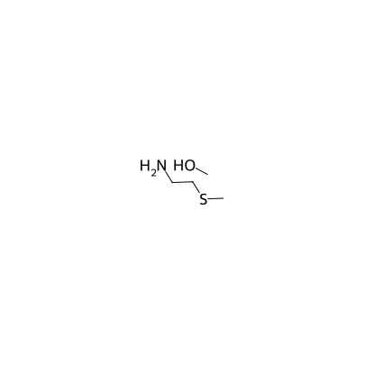 CO.CSCCN